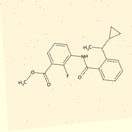 COC(=O)c1cccc(NC(=O)c2ccccc2C(C)C2CC2)c1F